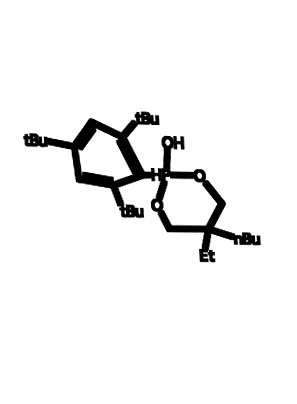 CCCCC1(CC)CO[PH](O)(c2c(C(C)(C)C)cc(C(C)(C)C)cc2C(C)(C)C)OC1